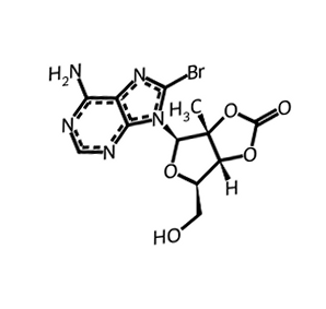 C[C@@]12OC(=O)O[C@@H]1[C@@H](CO)O[C@H]2n1c(Br)nc2c(N)ncnc21